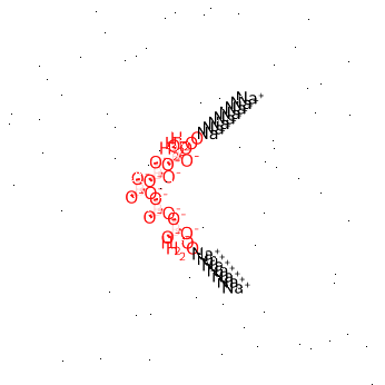 O.O.O.O.O.[Na+].[Na+].[Na+].[Na+].[Na+].[Na+].[Na+].[Na+].[Na+].[Na+].[Na+].[Na+].[Na+].[Na+].[Na+].[O-]B([O-])[O-].[O-]B([O-])[O-].[O-]B([O-])[O-].[O-]B([O-])[O-].[O-]B([O-])[O-]